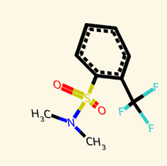 CN(C)S(=O)(=O)c1ccccc1C(F)(F)F